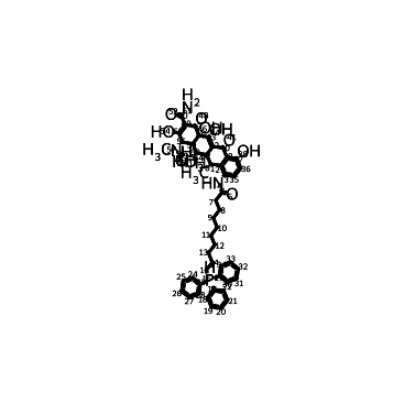 C[C@H]1c2c(NC(=O)CCCCCCCCC[PH](c3ccccc3)(c3ccccc3)c3ccccc3)ccc(O)c2C(=O)C2=C(O)[C@]3(O)C(=O)C(C(N)=O)=C(O)[C@@H](N(C)C)[C@@H]3[C@@H](O)[C@@H]21